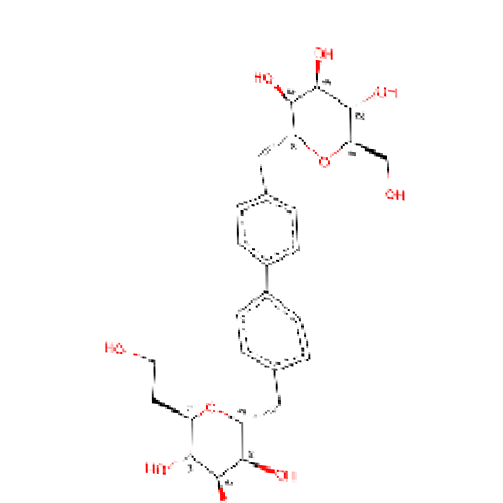 OCC[C@H]1O[C@H](Cc2ccc(-c3ccc(C[C@H]4O[C@H](CO)[C@@H](O)[C@H](O)[C@@H]4O)cc3)cc2)[C@@H](O)[C@@H](O)[C@@H]1O